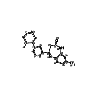 Cc1ccncc1-c1cccc(C2=Nc3ccc(C(F)(F)F)cc3NC(=O)C2)c1